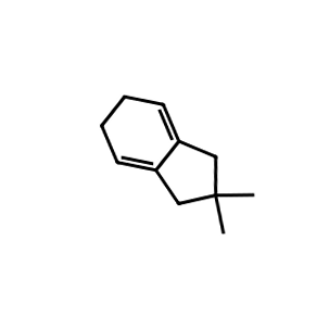 CC1(C)CC2=CCCC=C2C1